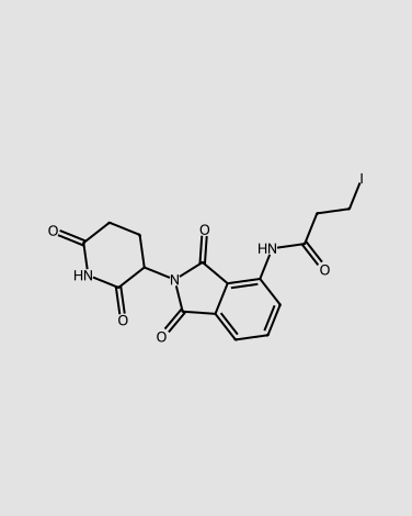 O=C1CCC(N2C(=O)c3cccc(NC(=O)CCI)c3C2=O)C(=O)N1